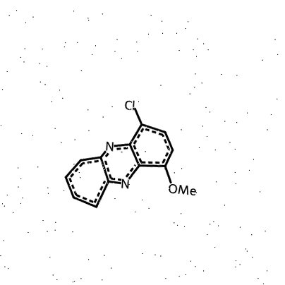 COc1ccc(Cl)c2nc3ccccc3nc12